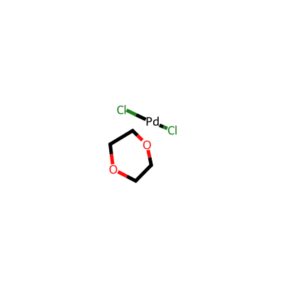 C1COCCO1.[Cl][Pd][Cl]